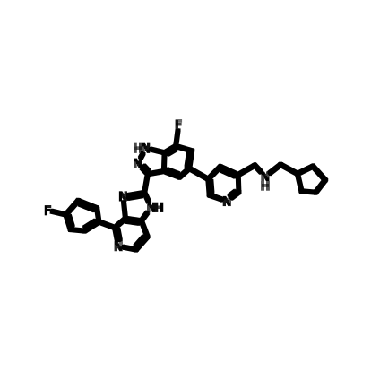 Fc1ccc(-c2nccc3[nH]c(-c4n[nH]c5c(F)cc(-c6cncc(CNCC7CCCC7)c6)cc45)nc23)cc1